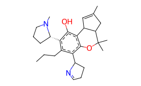 CCCc1c(C2CCC=N2)c2c(c(O)c1[C@@H]1CCCN1C)C1C=C(C)CC1C(C)(C)O2